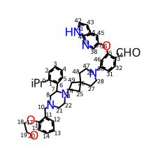 CC(C)c1ccccc1C1CN(Cc2cccc3c2OCCO3)CCN1C1CC2(CCN(c3ccc(C=O)c(Oc4cnc5[nH]ccc5c4)c3)CC2)C1